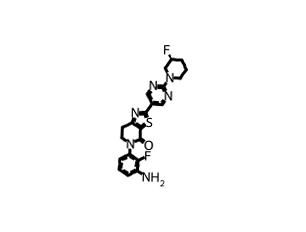 Nc1cccc(N2CCc3nc(-c4cnc(N5CCC[C@H](F)C5)nc4)sc3C2=O)c1F